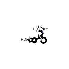 C=C/C(=C\c1nc(-c2ccc3c(c2)N=C(N)C3)n2c1CCCCC2)N(C)CC